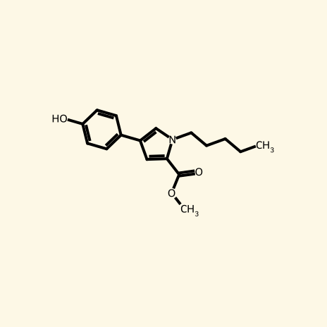 CCCCCn1cc(-c2ccc(O)cc2)cc1C(=O)OC